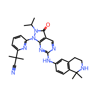 CC(C)n1c(=O)c2cnc(Nc3ccc4c(c3)CCNC4(C)C)nc2n1-c1cccc(C(C)(C)C#N)n1